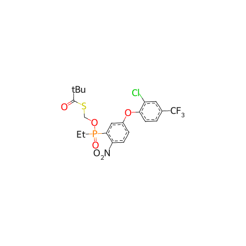 CCP(=O)(OCSC(=O)C(C)(C)C)c1cc(Oc2ccc(C(F)(F)F)cc2Cl)ccc1[N+](=O)[O-]